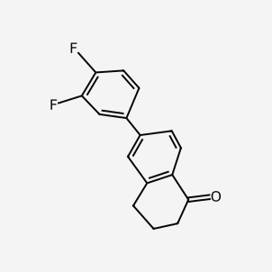 O=C1CCCc2cc(-c3ccc(F)c(F)c3)ccc21